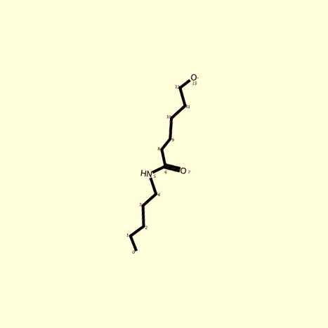 CCCCCNC(=O)CCCCC[O]